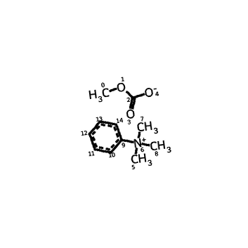 COC(=O)[O-].C[N+](C)(C)c1ccccc1